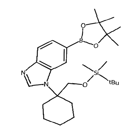 CC1(C)OB(c2ccc3ncn(C4(CO[Si](C)(C)C(C)(C)C)CCCCC4)c3c2)OC1(C)C